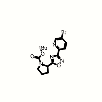 CC(C)(C)OC(=O)N1CCCC1c1nc(-c2ccc(Br)cn2)no1